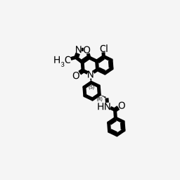 Cc1noc2c1c(=O)n([C@H]1CCC[C@@H](CNC(=O)c3ccccc3)C1)c1cccc(Cl)c21